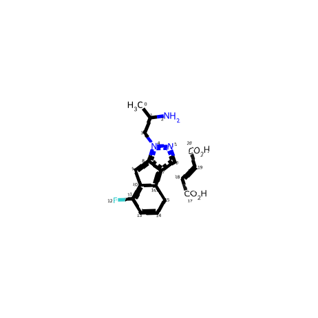 CC(N)Cn1ncc2c1=CC1=C(F)C=CCC=21.O=C(O)C=CC(=O)O